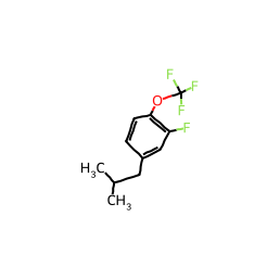 CC(C)Cc1ccc(OC(F)(F)F)c(F)c1